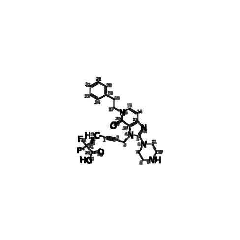 CC#CCn1c(N2CCNCC2)nc2ccn(CCc3ccccc3)c(=O)c21.O=C(O)C(F)(F)F